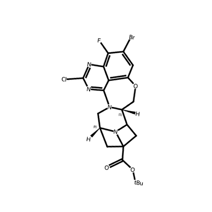 CC(C)(C)OC(=O)C12CC3[C@H]4COc5cc(Br)c(F)c6nc(Cl)nc(c56)N4C[C@@H](C1)N32